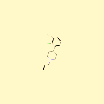 C=CCN1CCC(c2cccc(C#N)c2Cl)CC1